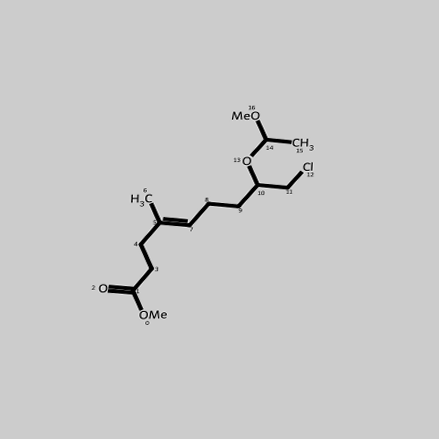 COC(=O)CCC(C)=CCCC(CCl)OC(C)OC